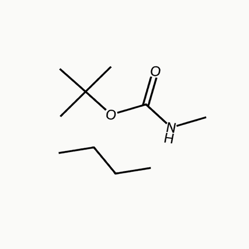 CCCC.CNC(=O)OC(C)(C)C